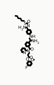 CCCCCCSC(=O)/N=C(\N)c1ccc(NCC(N)c2cccc(C(=O)N(CCC(=O)Oc3cc(F)ccc3OC)c3ccccn3)c2)cc1